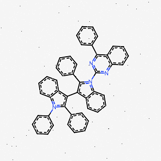 c1ccc(-c2nc(-n3c(-c4ccccc4)c(-c4c(-c5ccccc5)n(-c5ccccc5)c5ccccc45)c4ccccc43)nc3ccccc23)cc1